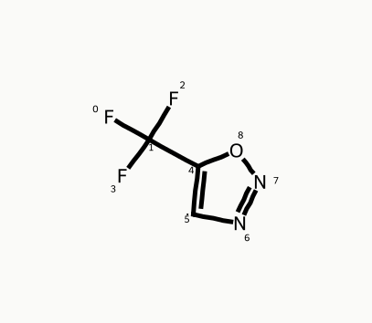 FC(F)(F)c1[c]nno1